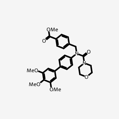 COC(=O)c1ccc(CN(C(=O)N2CCOCC2)c2ccc(-c3cc(OC)c(OC)c(OC)c3)cc2)cc1